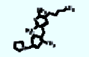 CCCCCc1cc(Cc2ccc(CN3CCCC3)cc2C)c(C)nc1N